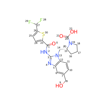 O=C(Nc1nc2cc(CO)ccc2n1C[C@H]1CCCN1C(=O)O)c1ccc(C(F)F)s1